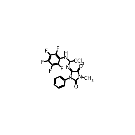 CN1C(=O)C(=NC(Nc2c(F)c(F)c(F)c(F)c2F)C(Cl)(Cl)Cl)N(c2ccccc2)C1=O